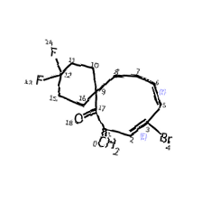 C=C1/C=C(Br)\C=C/CCC2(CCC(F)(F)CC2)C1=O